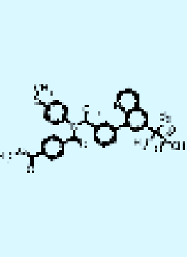 COC(=O)c1ccc(C(=O)N(c2ccc(SC)cc2)C(C)c2cccc(-c3cc(C(C)(C)S(C)(=O)=O)cc4cccnc34)c2)cc1